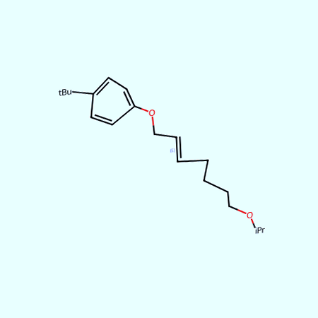 CC(C)OCCCC/C=C/COc1ccc(C(C)(C)C)cc1